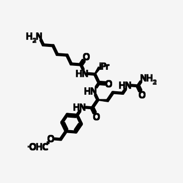 CC(C)[C@H](NC(=O)CCCCCN)C(=O)N[C@@H](CCCNC(N)=O)C(=O)Nc1ccc(CO[C]=O)cc1